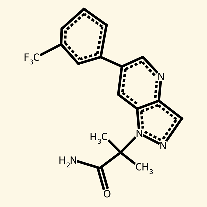 CC(C)(C(N)=O)n1ncc2ncc(-c3cccc(C(F)(F)F)c3)cc21